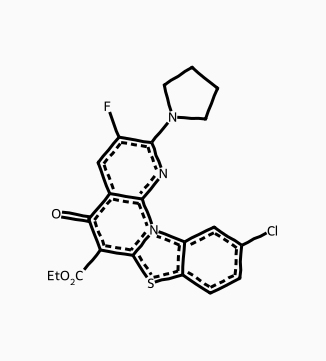 CCOC(=O)c1c(=O)c2cc(F)c(N3CCCC3)nc2n2c1sc1ccc(Cl)cc12